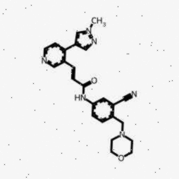 Cn1cc(-c2ccncc2C=CC(=O)Nc2ccc(CN3CCOCC3)c(C#N)c2)cn1